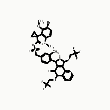 COc1ccc(Br)c(OC)c1C1(C(=O)NS(=O)(=O)Cc2ccc(C3NC(OCC(F)(F)F)C4=C3C(=O)C(OCC(F)(F)F)c3cccnc34)c(C)c2)CC1